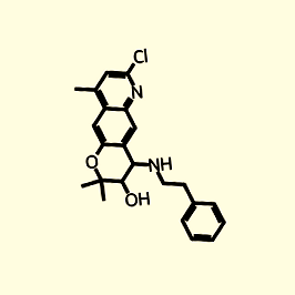 Cc1cc(Cl)nc2cc3c(cc12)OC(C)(C)C(O)C3NCCc1ccccc1